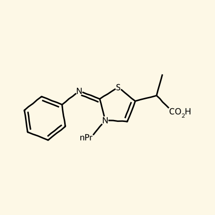 CCCn1cc(C(C)C(=O)O)sc1=Nc1ccccc1